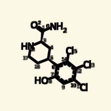 NC(=O)[C@H]1C[C@@H](c2c(O)cc(Cl)c(Cl)c2Cl)CCN1